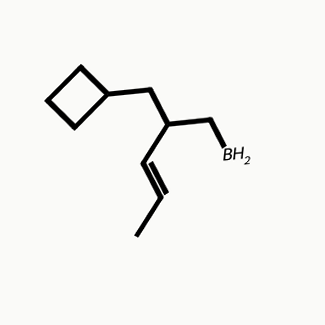 BCC(C=CC)CC1CCC1